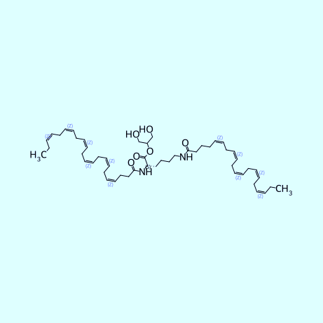 CC/C=C\C/C=C\C/C=C\C/C=C\C/C=C\C/C=C\CCC(=O)N[C@@H](CCCCNC(=O)CCC/C=C\C/C=C\C/C=C\C/C=C\C/C=C\CC)C(=O)OC(CO)CO